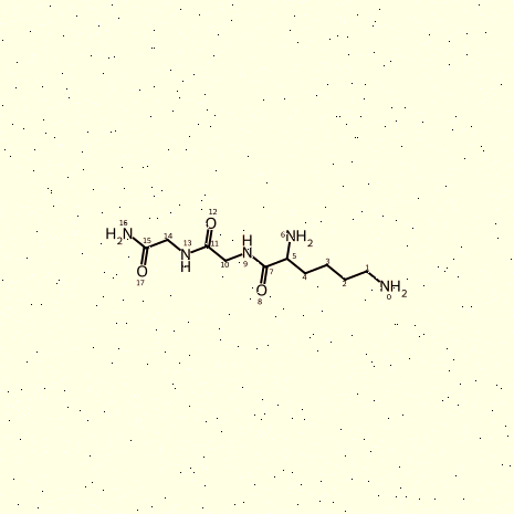 NCCCCC(N)C(=O)NCC(=O)NCC(N)=O